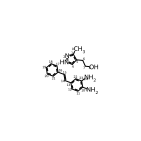 Cc1n[nH]cc1CCO.Nc1ccc(C=Cc2ccccc2)cc1N